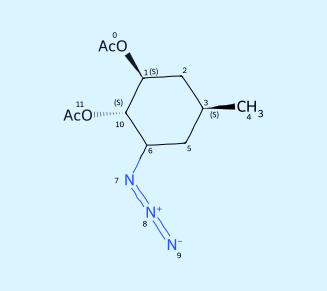 CC(=O)O[C@H]1C[C@@H](C)CC(N=[N+]=[N-])[C@@H]1OC(C)=O